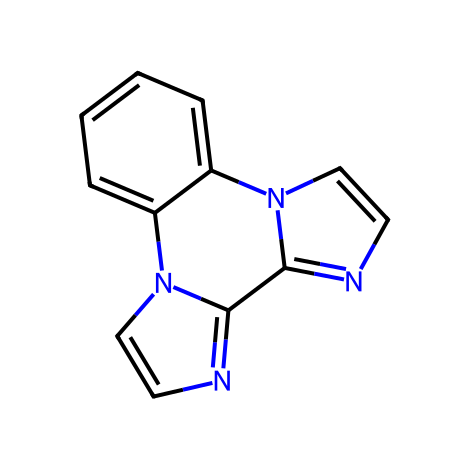 c1ccc2c(c1)n1ccnc1c1nccn21